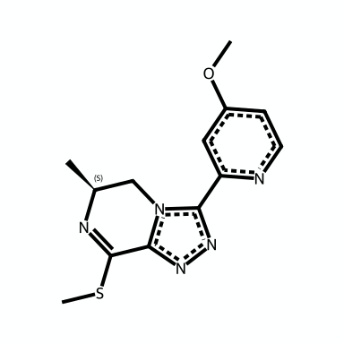 COc1ccnc(-c2nnc3n2C[C@H](C)N=C3SC)c1